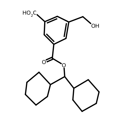 O=C(O)c1cc(CO)cc(C(=O)OC(C2CCCCC2)C2CCCCC2)c1